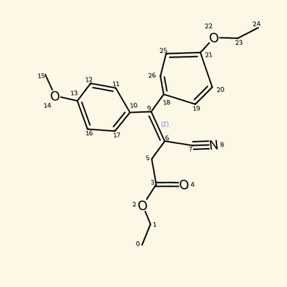 CCOC(=O)C/C(C#N)=C(\c1ccc(OC)cc1)c1ccc(OCC)cc1